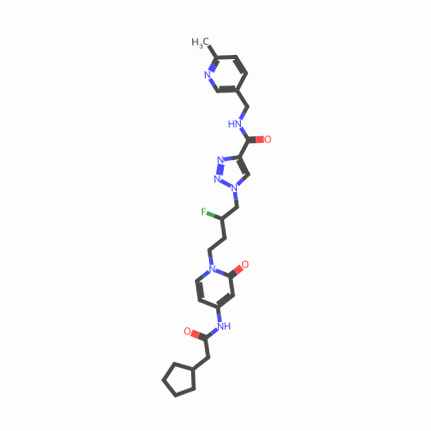 Cc1ccc(CNC(=O)c2cn(CC(F)CCn3ccc(NC(=O)CC4CCCC4)cc3=O)nn2)cn1